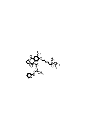 Cc1cc2c(cc1OCCCCCC(C)(C)C)N(C(=O)OCC(C)SSc1ccccn1)C(=O)[C@@H]1CCCN1C2=O